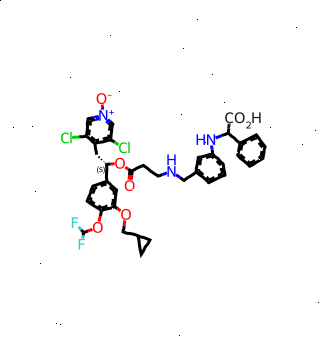 O=C(CCNCc1cccc(NC(C(=O)O)c2ccccc2)c1)O[C@@H](Cc1c(Cl)c[n+]([O-])cc1Cl)c1ccc(OC(F)F)c(OCC2CC2)c1